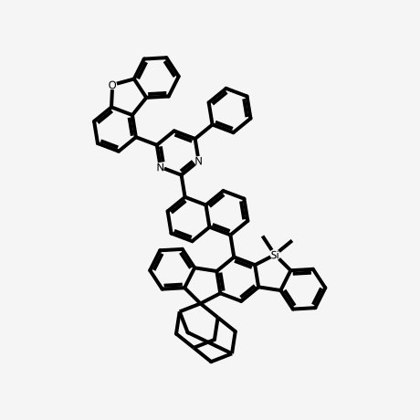 C[Si]1(C)c2ccccc2-c2cc3c(c(-c4cccc5c(-c6nc(-c7ccccc7)cc(-c7cccc8oc9ccccc9c78)n6)cccc45)c21)-c1ccccc1C31C2CC3CC(C2)CC1C3